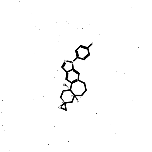 CC[C@@]12CC[C@]3(CO3)C[C@H]1CCCc1cc3c(cnn3-c3ccc(F)cc3)cc12